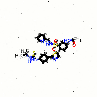 CC(=O)Nc1ccc(-c2cnc(-c3ccc(NC(=S)NC(C)C)cc3)s2)c(S(=O)(=O)NCc2ccccn2)c1